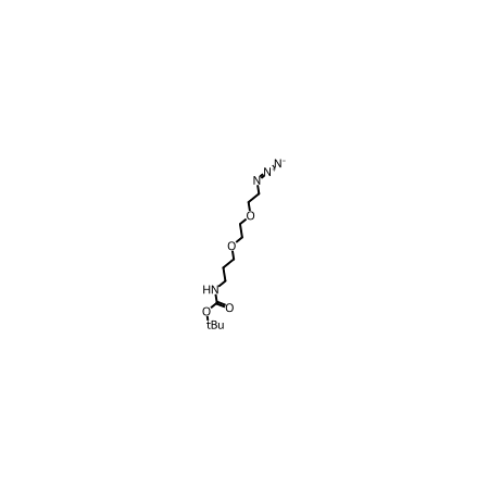 CC(C)(C)OC(=O)NCCCOCCOCCN=[N+]=[N-]